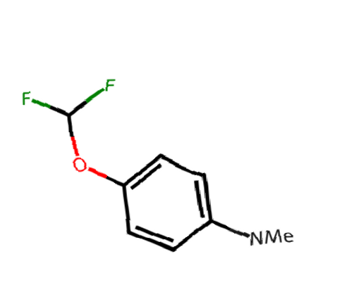 CNc1ccc(OC(F)F)cc1